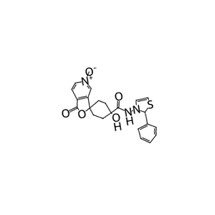 O=C1OC2(CCC(O)(C(=O)NN3C=CSC3c3ccccc3)CC2)c2c[n+]([O-])ccc21